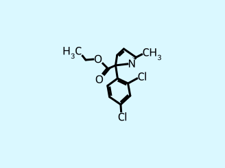 CCOC(=O)C1(c2ccc(Cl)cc2Cl)C=CC(C)=N1